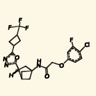 O=C(COc1ccc(Cl)c(F)c1)NC12CC(C1)[C@H](c1nnc(C3CC(C(F)(F)F)C3)o1)C2